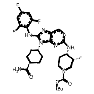 CC(C)(C)OC(=O)N1CC[C@H](Nc2ncc3nc(Nc4c(F)cc(F)cc4F)n([C@H]4CC[C@H](C(N)=O)CC4)c3n2)[C@H](F)C1